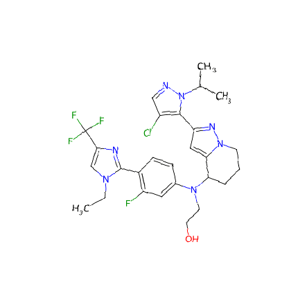 CCn1cc(C(F)(F)F)nc1-c1ccc(N(CCO)C2CCCn3nc(-c4c(Cl)cnn4C(C)C)cc32)cc1F